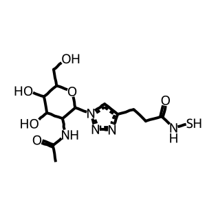 CC(=O)NC1C(O)C(O)C(CO)OC1n1cc(CCC(=O)NS)nn1